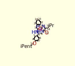 CCCC(C)COc1ccc([C@H](CNC(=O)[C@H](N)CC(C)C)NC(=O)Cc2ccccc2)cc1